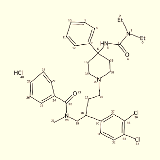 CCN(CC)C(=O)NC1(c2ccccc2)CCN(CCC(CN(C)C(=O)c2ccccc2)c2ccc(Cl)c(Cl)c2)CC1.Cl